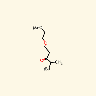 COCCOCCC(=O)C(C)C(C)(C)C